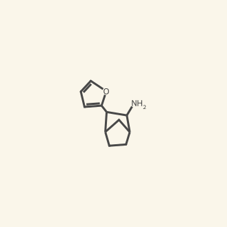 NC1C2CCC(C2)C1c1ccco1